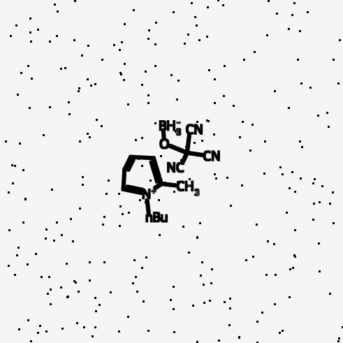 CCCC[n+]1ccccc1C.[BH3-]OC(C#N)(C#N)C#N